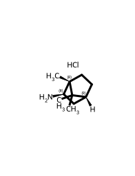 CC1(C)[C@@H]2CC[C@@]1(C)[C@H](N)C2.Cl